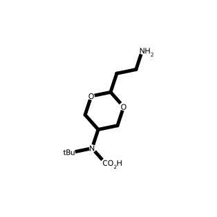 CC(C)(C)N(C(=O)O)C1COC(CCN)OC1